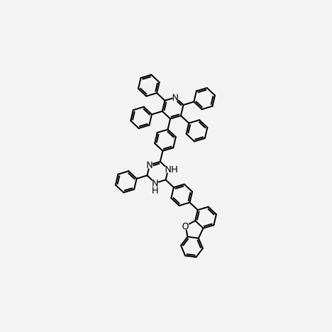 c1ccc(-c2nc(-c3ccccc3)c(-c3ccccc3)c(-c3ccc(C4=NC(c5ccccc5)NC(c5ccc(-c6cccc7c6oc6ccccc67)cc5)N4)cc3)c2-c2ccccc2)cc1